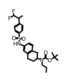 CCCN(C(=O)OC(C)(C)C)C1CCc2cc(NS(=O)(=O)c3ccc(C(C)C(F)F)cc3)ccc2C1